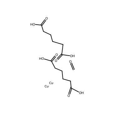 C=O.O=C(O)CCCCC(=O)O.O=C(O)CCCCC(=O)O.[Cu].[Cu]